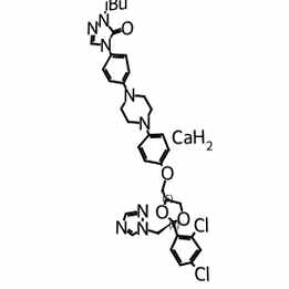 CCC(C)n1ncn(-c2ccc(N3CCN(c4ccc(OC[C@H]5CO[C@](Cn6cncn6)(c6ccc(Cl)cc6Cl)O5)cc4)CC3)cc2)c1=O.[CaH2]